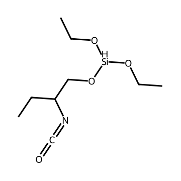 CCO[SiH](OCC)OCC(CC)N=C=O